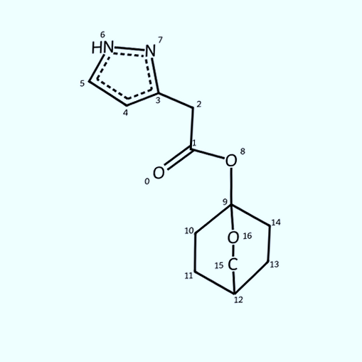 O=C(Cc1cc[nH]n1)OC12CCC(CC1)CO2